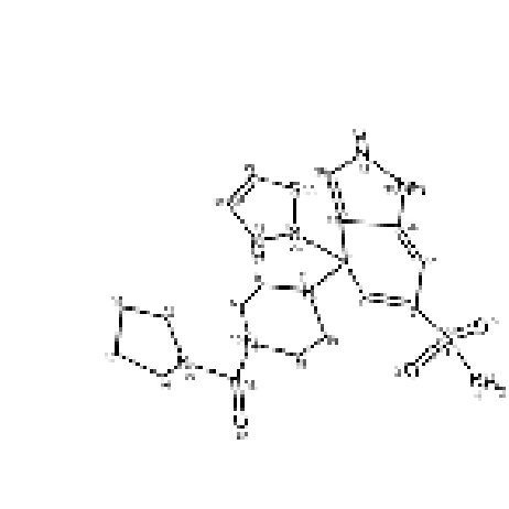 NS(=O)(=O)C1=CC(N2CCN(C(=O)N3CCCC3)CC2)(N2NC=CS2)C2=CNNC2=C1